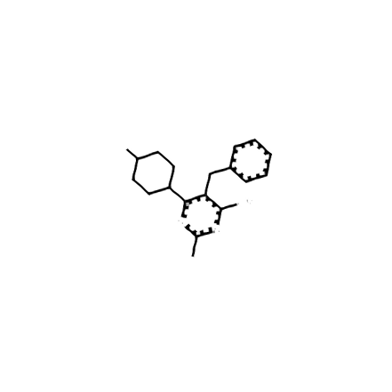 COc1nc(C)nc(C2CCC(O)CC2)c1Cc1ccccc1